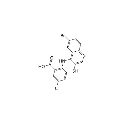 O=C(O)c1cc(Cl)ccc1Nc1c(S)cnc2ccc(Br)cc12